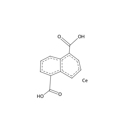 O=C(O)c1cccc2c(C(=O)O)cccc12.[Ce]